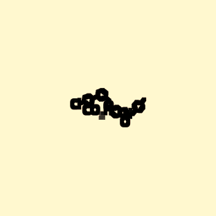 Cc1ccc(CN2Cc3cc(OCc4cccc(-c5ccc(Cl)c(C(=O)O)c5)c4)ccc3C2=O)cc1